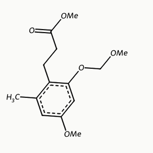 COCOc1cc(OC)cc(C)c1CCC(=O)OC